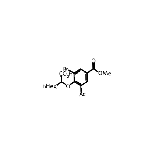 CCCCCCC(Oc1c(Br)cc(C(=O)OC)cc1C(C)=O)C(=O)O